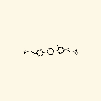 Cc1cc(OCC2CO2)ccc1C1C=CC(c2ccc(OCC3CO3)cc2)C=C1